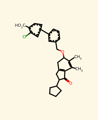 CC1=C(C)C(OCc2cccc(-c3ccc(C(=O)O)c(Cl)c3)c2)CC2=C1C(=O)C(C1CCCC1)C2